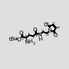 CC(C)(C)OC(=O)[C@H](N)CCC(=O)NCCN1C(=O)C=CC1=O